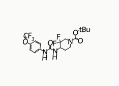 CC(C)(C)OC(=O)N1CCC(NC(=O)Nc2ccc(OC(F)(F)F)cc2)C(F)(F)C1